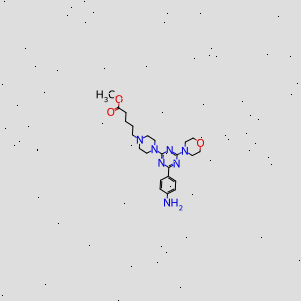 COC(=O)CCCCN1CCN(c2nc(-c3ccc(N)cc3)nc(N3CCOCC3)n2)CC1